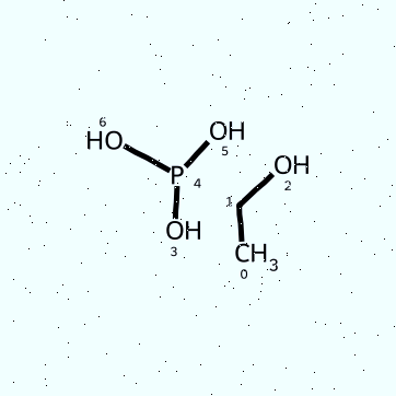 CCO.OP(O)O